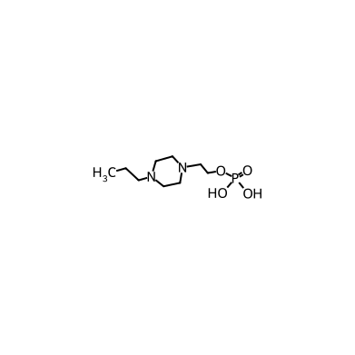 CCCN1CCN(CCOP(=O)(O)O)CC1